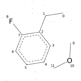 CCc1ccccc1F.COC